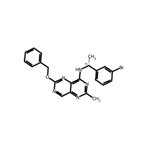 Cc1nc(N[C@H](C)c2cccc(Br)c2)c2nc(OCc3ccccc3)ncc2n1